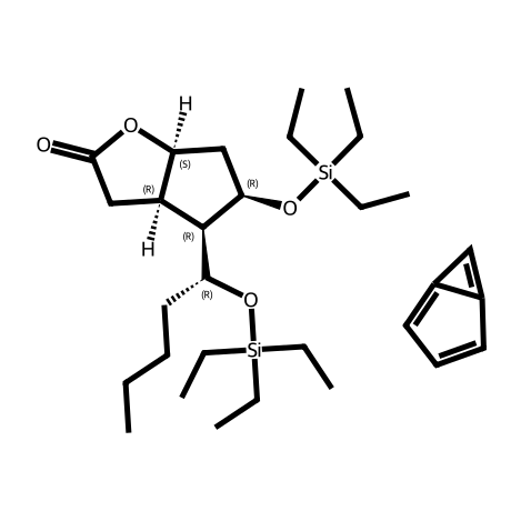 CCCC[C@@H](O[Si](CC)(CC)CC)[C@H]1[C@H]2CC(=O)O[C@H]2C[C@H]1O[Si](CC)(CC)CC.c1cc2cc-2c1